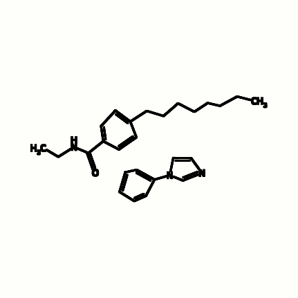 CCCCCCCCc1ccc(C(=O)NCC)cc1.c1ccc(-n2ccnc2)cc1